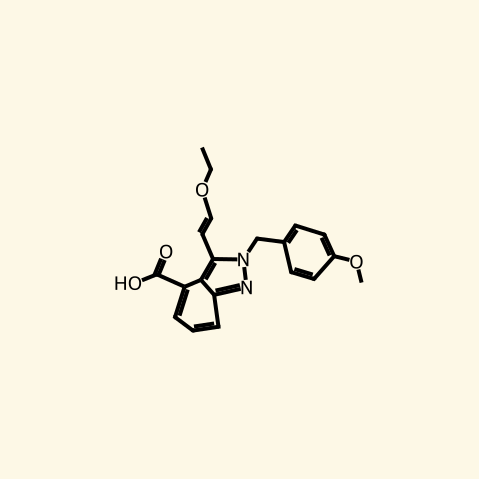 CCOC=Cc1c2c(C(=O)O)cccc2nn1Cc1ccc(OC)cc1